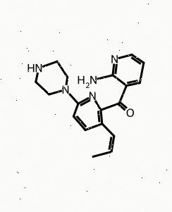 C/C=C\c1ccc(N2CCNCC2)nc1C(=O)c1cccnc1N